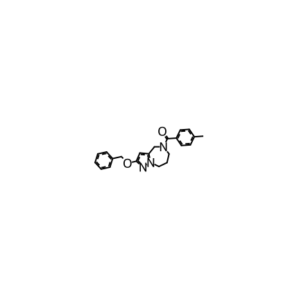 Cc1ccc(C(=O)N2CCCn3nc(OCc4ccccc4)cc3C2)cc1